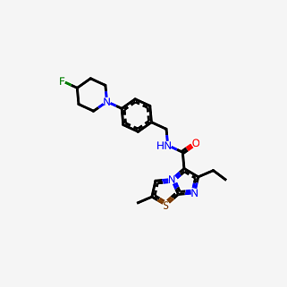 CCc1nc2sc(C)cn2c1C(=O)NCc1ccc(N2CCC(F)CC2)cc1